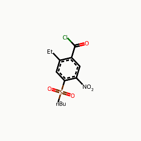 CCCCS(=O)(=O)c1cc(CC)c(C(=O)Cl)cc1[N+](=O)[O-]